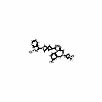 Cn1nc(N2CC3(CC(c4nnc5n4-c4ccc(Cl)cc4CN(C4CS(=O)(=O)C4)C5)C3)C2)c2cccnc21